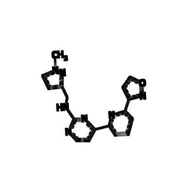 Cn1ccc(CNc2nccc(-c3cccc(-c4ccon4)n3)n2)n1